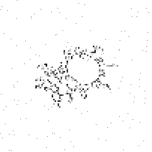 CCCCCCC1OC(=O)C1C(=O)N[C@@H](CCN)C(=O)N[C@H](C(=O)N[C@@H](CCN)C(=O)N[C@H]1CCNC(O)[C@H]([C@H](C)O)NC(=O)[C@H](CCN)NC(=O)[C@H](CCN)NC(=O)[C@H](CC(C)C)NC(=O)[C@@H](Cc2ccccc2)NC(=O)[C@H](CCN)NC1=O)C(C)O